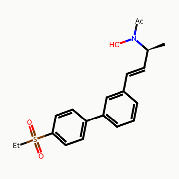 CCS(=O)(=O)c1ccc(-c2cccc(/C=C/[C@H](C)N(O)C(C)=O)c2)cc1